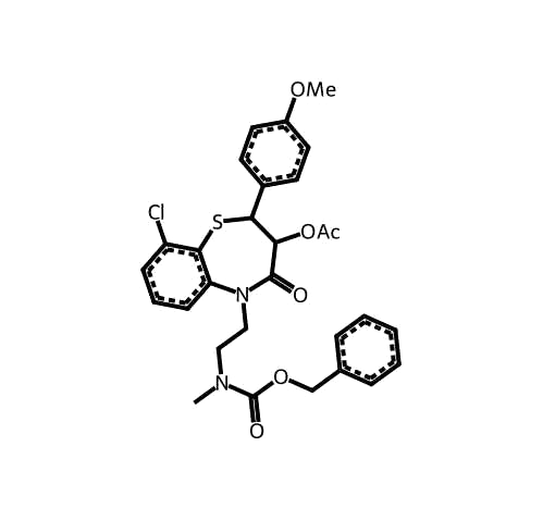 COc1ccc(C2Sc3c(Cl)cccc3N(CCN(C)C(=O)OCc3ccccc3)C(=O)C2OC(C)=O)cc1